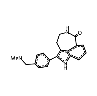 CNCc1ccc(-c2[nH]c3cccc4c3c2CCNC4=O)cc1